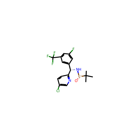 CC(C)(C)[S@+]([O-])N[C@@H](c1cc(F)cc(C(F)(F)F)c1)c1ccc(Cl)cn1